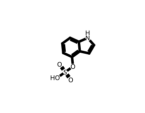 O=S(=O)(O)Oc1cccc2[nH]ccc12